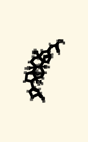 CC(=O)OC1CCC2(C=O)[C@H]3CCC4(C)C(C5=CC(=O)OC5)CCC4(O)[C@@H]3CCC2(O)C1